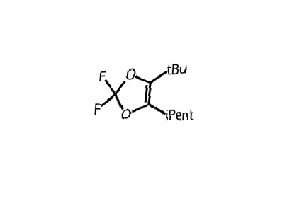 CCCC(C)C1=C(C(C)(C)C)OC(F)(F)O1